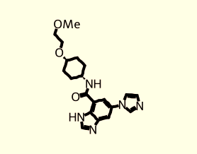 COCCO[C@H]1CC[C@H](NC(=O)c2cc(-n3ccnc3)cc3nc[nH]c23)CC1